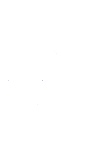 Fc1ccc2c(Nc3ccncc3)c[nH]c2c1.O=C(O)C=CC(=O)O